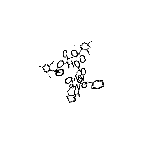 Cc1cc(C)c(C(=O)OCC(=O)COC(=O)c2c(C)cc(C)cc2C)c(C)c1.O=C(O)CNC(=O)[C@H](Cc1ccccc1)NC(=O)OCc1ccccc1